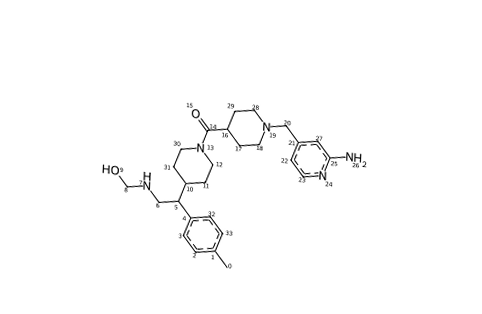 Cc1ccc(C(CNCO)C2CCN(C(=O)C3CCN(Cc4ccnc(N)c4)CC3)CC2)cc1